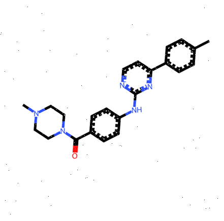 Cc1ccc(-c2ccnc(Nc3ccc(C(=O)N4CCN(C)CC4)cc3)n2)cc1